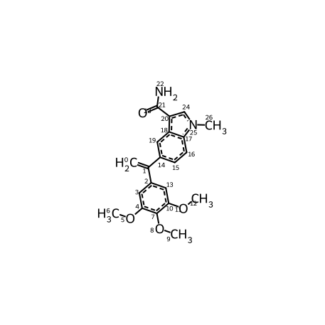 C=C(c1cc(OC)c(OC)c(OC)c1)c1ccc2c(c1)c(C(N)=O)cn2C